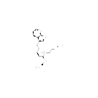 C#C/N=C(\C=C/CCc1c[nH]c2ncccc12)NCCOC